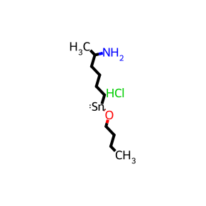 CCCC[O][Sn][CH2]CCCC(C)N.Cl